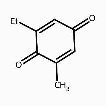 CCC1=CC(=O)C=C(C)C1=O